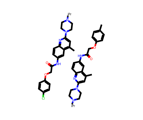 Cc1cc(N2CCN(C(C)C)CC2)nc2ccc(NC(=O)COc3ccc(Cl)cc3)cc12.Cc1ccc(OCC(=O)Nc2ccc3nc(N4CCN(C(C)C)CC4)cc(C)c3c2)cc1